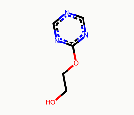 OCCOc1ncncn1